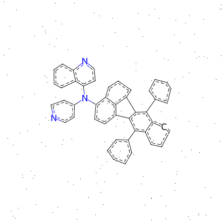 c1ccc(-c2c3c(c(-c4ccccc4)c4ccccc24)-c2ccc(N(c4ccncc4)c4ccnc5ccccc45)c4cccc-3c24)cc1